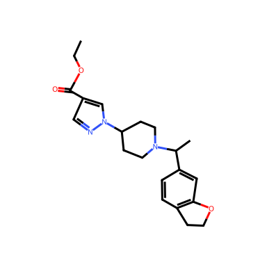 CCOC(=O)c1cnn(C2CCN(C(C)c3ccc4c(c3)OCC4)CC2)c1